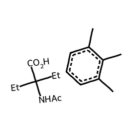 CCC(CC)(NC(C)=O)C(=O)O.Cc1cccc(C)c1C